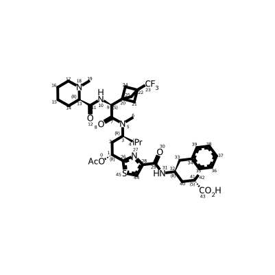 CC(=O)O[C@H](C[C@H](C(C)C)N(C)C(=O)[C@@H](NC(=O)[C@H]1CCCCN1C)C12CC(C(F)(F)F)(C1)C2)c1nc(C(=O)N[C@@H](Cc2ccccc2)C[C@H](C)C(=O)O)cs1